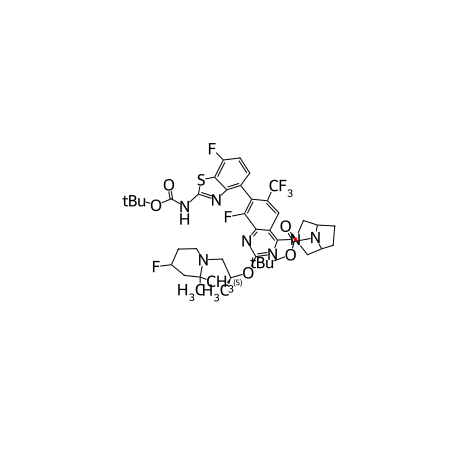 C[C@@H](CN1CCC(F)CC1(C)C)Oc1nc(N2CC3CCC(C2)N3C(=O)OC(C)(C)C)c2cc(C(F)(F)F)c(-c3ccc(F)c4sc(NC(=O)OC(C)(C)C)nc34)c(F)c2n1